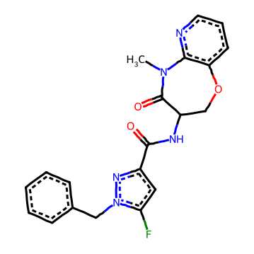 CN1C(=O)C(NC(=O)c2cc(F)n(Cc3ccccc3)n2)COc2cccnc21